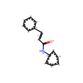 O=C(/C=C/c1cc[c]cc1)Nc1ccccc1